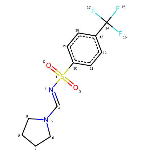 O=S(=O)(N=CN1CCCC1)c1ccc(C(F)(F)F)cc1